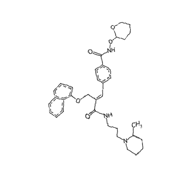 CC1CCCCN1CCCNC(=O)/C(=C/c1ccc(C(=O)NOC2CCCCO2)cc1)COc1cccc2ccccc12